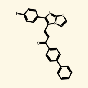 O=C(C=Cc1c(-c2ccc(F)cc2)nc2sccn12)c1ccc(-c2ccccc2)cc1